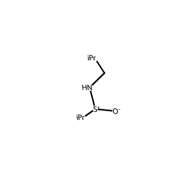 CC(C)CN[S+]([O-])C(C)C